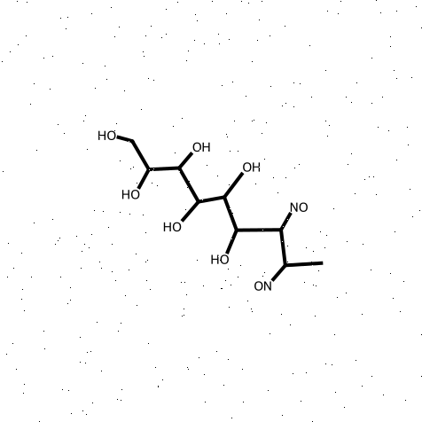 CC(N=O)C(N=O)C(O)C(O)C(O)C(O)C(O)CO